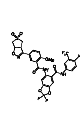 COc1ccc(C2=NOC3CS(=O)(=O)CC23)cc1C(=O)Nc1cc2c(cc1C(=O)Nc1ccc(F)c(C(F)(F)F)c1)OC(F)(F)O2